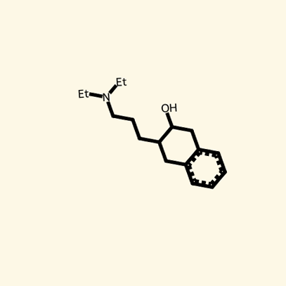 CCN(CC)CCCC1Cc2ccccc2CC1O